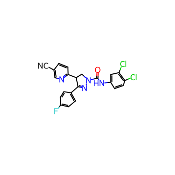 N#Cc1ccc(C2CN(C(=O)Nc3ccc(Cl)c(Cl)c3)N=C2c2ccc(F)cc2)nc1